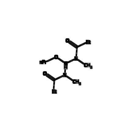 CCCO[SiH](N(C)C(=O)CC)N(C)C(=O)CC